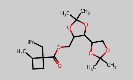 CC(C)CC1(C(=O)OCC2OC(C)(C)OC2C2COC(C)(C)O2)CCC1C